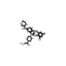 NC(=O)[C@H]1CC[C@H](n2c(Nc3c(Cl)cc(F)cc3Cl)nc3cnc(N[C@@H]4CCCOC4)nc32)CC1